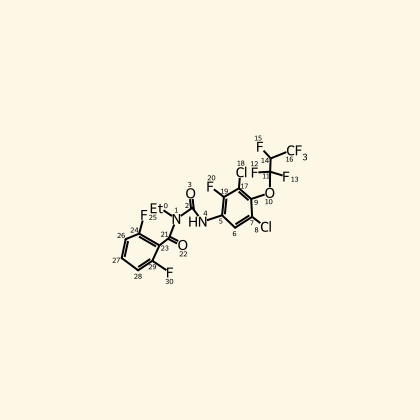 CCN(C(=O)Nc1cc(Cl)c(OC(F)(F)C(F)C(F)(F)F)c(Cl)c1F)C(=O)c1c(F)cccc1F